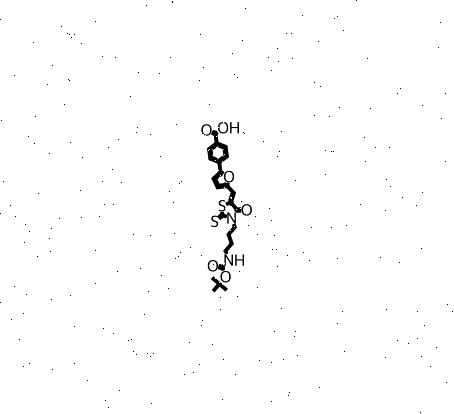 CC(C)(C)OC(=O)NCCCCN1C(=O)/C(=C/c2ccc(-c3ccc(C(=O)O)cc3)o2)SC1=S